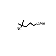 COCCCC(C)(C)C#N